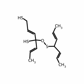 CC=CC(C=CC)SOC(S)(C=CC)C=CCS